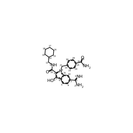 N=C(N)c1ccc2c(O)c(C(=O)NCC3CCCCC3)n(Cc3ccc(C(N)=O)cc3)c2c1